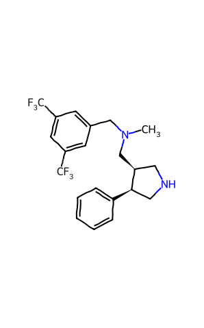 CN(Cc1cc(C(F)(F)F)cc(C(F)(F)F)c1)C[C@H]1CNC[C@H]1c1ccccc1